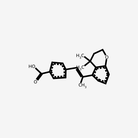 CC(=Cc1ccc(C(=O)O)cc1)c1cccc2c1C(C)(C)CCO2